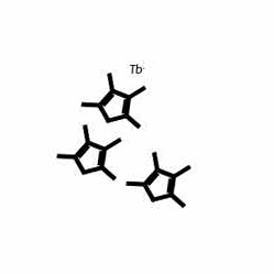 CC1=C(C)C(C)=C(C)C1.CC1=C(C)C(C)=C(C)C1.CC1=C(C)C(C)=C(C)C1.[Tb]